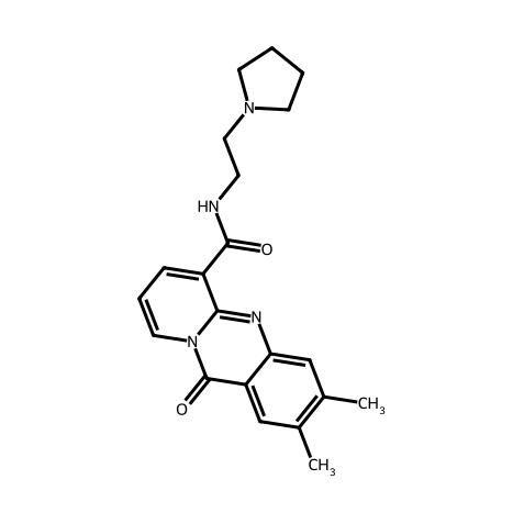 Cc1cc2nc3c(C(=O)NCCN4CCCC4)cccn3c(=O)c2cc1C